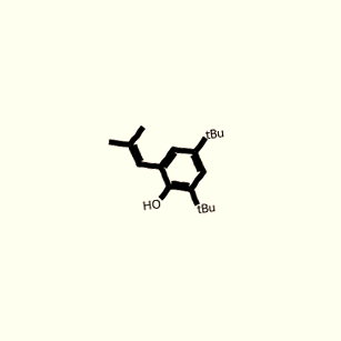 CC(C)=Cc1cc(C(C)(C)C)cc(C(C)(C)C)c1O